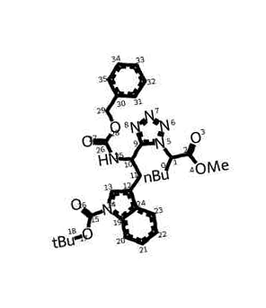 CCCCC(C(=O)OC)n1nnnc1C(Cc1cn(C(=O)OC(C)(C)C)c2ccccc12)NC(=O)OCc1ccccc1